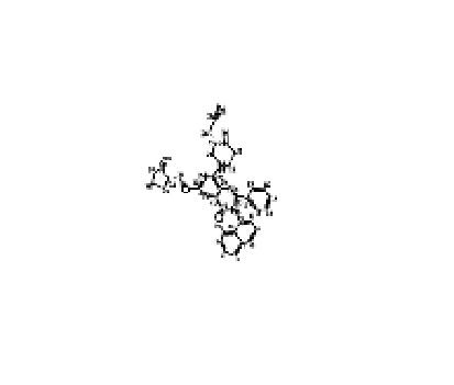 Cc1cccc2cccc(-n3c(-c4ccccc4)nc4c(N5CCN[C@@H](CC#N)C5)nc(OC[C@@H]5CCCN5C)nc4c3=O)c12